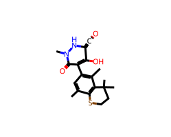 Cc1cc(C2=C(O)C(=C=O)NN(C)C2=O)c(C)c2c1SCCC2(C)C